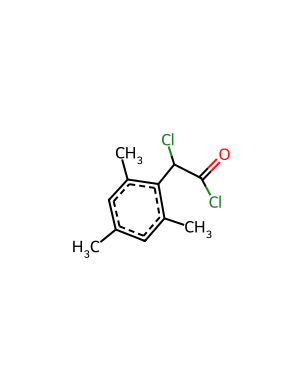 Cc1cc(C)c(C(Cl)C(=O)Cl)c(C)c1